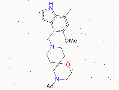 COc1cc(C)c2[nH]ccc2c1CN1CCC2(CC1)CN(C(C)=O)CCO2